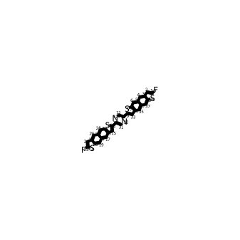 Fc1cc2cc3cc4sc(-c5cnc(-c6cc7cc8cc9sc(F)cc9cc8cc7s6)cn5)cc4cc3cc2s1